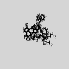 C#Cc1c(F)ccc2cc(O)cc(-c3c(C(C)(C)C#N)cc4c(N5CCCC(C)(O)C(N(C)C(=O)C=C)C5)nc(OCC56CCCN5CCC6)nc4c3F)c12